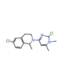 CC1=CC(N2CCc3cc(Cl)ccc3C2C)=NC(Cl)N1C